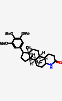 COc1cc(C2CC[C@H]3[C@@H]4CCC5NC(=O)CC[C@]5(C)[C@@H]4CC[C@]23C)cc(OC)c1OC